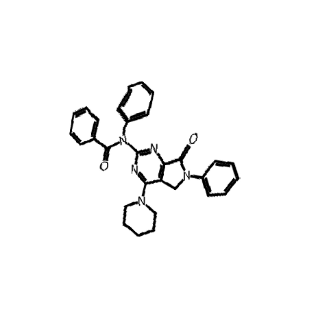 O=C1c2nc(N(C(=O)c3ccccc3)c3ccccc3)nc(N3CCCCC3)c2CN1c1ccccc1